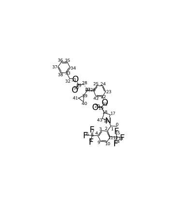 CC(c1cc(C(F)(F)F)ccc1C(F)(F)F)N1CC(C(=O)Oc2cccc([C@@H](CC(=O)OCc3ccccc3)C3CC3)c2)C1